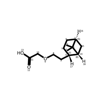 CC1(C)[C@H]2CC[C@@H](CCOCC(=O)O)[C@H]1C2